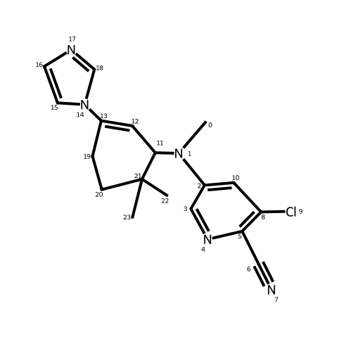 CN(c1cnc(C#N)c(Cl)c1)C1C=C(n2ccnc2)CCC1(C)C